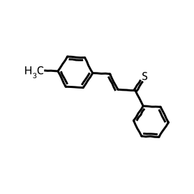 Cc1ccc(C=CC(=S)c2ccccc2)cc1